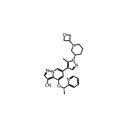 Cc1c(-c2cc(O[C@H](C)c3ccccn3)c3c(C#N)cnn3c2)cnn1[C@@H]1CCCN(C2COC2)C1